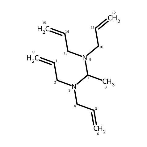 C=CCN(CC=C)C(C)N(CC=C)CC=C